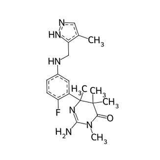 Cc1cn[nH]c1CNc1ccc(F)c(C2(C)N=C(N)N(C)C(=O)C2(C)C)c1